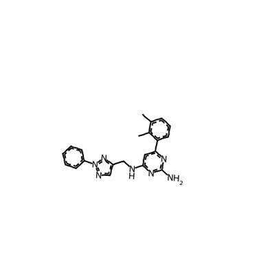 Cc1cccc(-c2cc(NCc3cnn(-c4ccccc4)n3)nc(N)n2)c1C